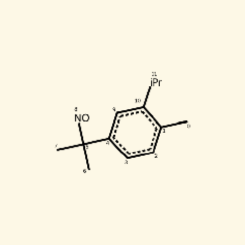 Cc1ccc(C(C)(C)N=O)cc1C(C)C